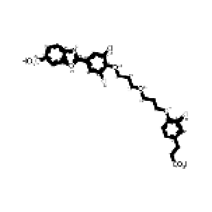 O=C(O)CCc1ccc(OCCCOCCCOc2c(Cl)cc(-c3nc4ccc(C(=O)O)cc4o3)cc2Cl)c(Cl)c1